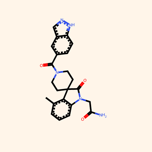 Cc1cccc2c1C1(CCN(C(=O)c3ccc4[nH]ncc4c3)CC1)C(=O)N2CC(N)=O